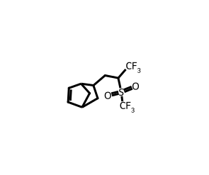 O=S(=O)(C(CC1CC2C=CC1C2)C(F)(F)F)C(F)(F)F